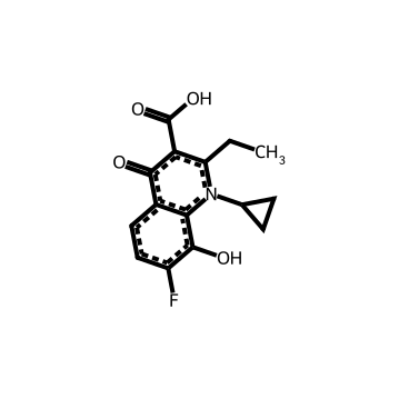 CCc1c(C(=O)O)c(=O)c2ccc(F)c(O)c2n1C1CC1